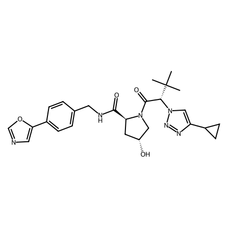 CC(C)(C)[C@@H](C(=O)N1C[C@H](O)C[C@H]1C(=O)NCc1ccc(-c2cnco2)cc1)n1cc(C2CC2)nn1